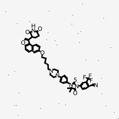 CC1(C)C(=O)N(c2ccc(C#N)c(C(F)(F)F)c2)C(=S)N1c1ccc(N2CCN(CCCCCOc3ccc4c(ccc5occ(C6CCC(=O)NC6=O)c54)c3)CC2)cc1